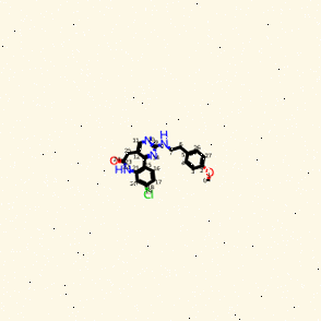 COc1ccc(CCNc2ncc3c(n2)-c2ccc(Cl)cc2NC(=O)C3)cc1